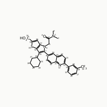 CN(C)C(=O)Cn1c(-c2ccc3nc(-c4cccc(C(F)(F)F)c4)ccc3c2)c(C2CCCCC2)c2sc(C(=O)O)cc21